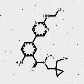 Nc1ccc(-c2cnc(NCC(F)(F)F)nc2)cc1C(=O)N(N)CC1(CO)CC1